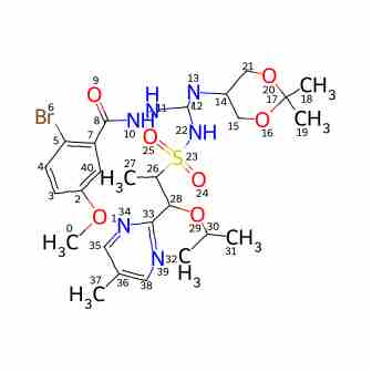 COc1ccc(Br)c(C(=O)NN/C(=N/C2COC(C)(C)OC2)NS(=O)(=O)C(C)C(OC(C)C)c2ncc(C)cn2)c1